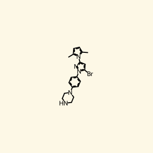 Cc1ccc(C)n1-c1cc(Br)n(-c2ccc(N3CCNCC3)cc2)n1